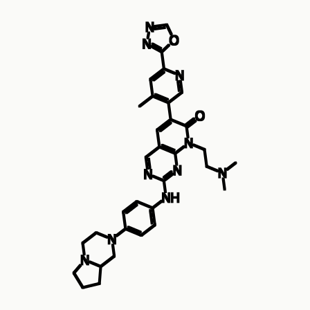 Cc1cc(-c2nnco2)ncc1-c1cc2cnc(Nc3ccc(N4CCN5CCCC5C4)cc3)nc2n(CCN(C)C)c1=O